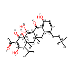 CC(=O)C1=C(O)C(C(C)C)[C@@]2(C)C[C@@]3(C)Cc4c(CCC(C)(C)C)ccc(O)c4C(=O)C3=C(O)[C@@]2(O)C1=O